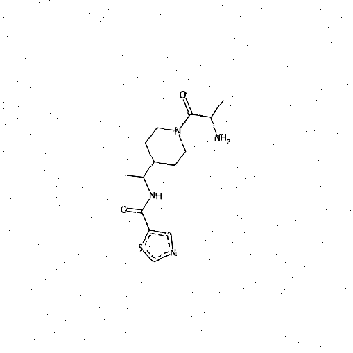 CC(N)C(=O)N1CCC(C(C)NC(=O)c2cncs2)CC1